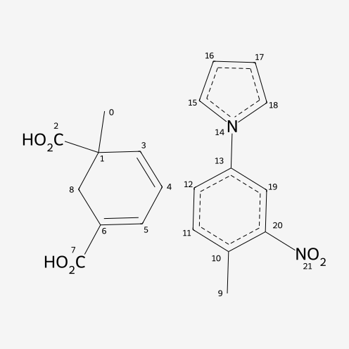 CC1(C(=O)O)C=CC=C(C(=O)O)C1.Cc1ccc(-n2cccc2)cc1[N+](=O)[O-]